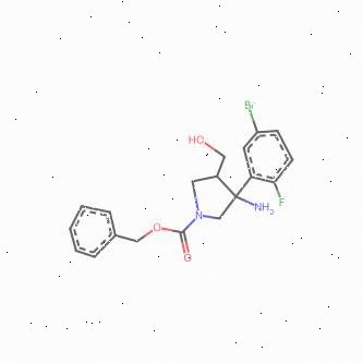 NC1(c2cc(Br)ccc2F)CN(C(=O)OCc2ccccc2)CC1CO